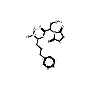 COCC(C(=O)N[C@@H](CCCc1ccccc1)B(O)O)N1C(=O)CCC1=O